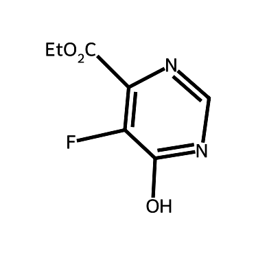 CCOC(=O)c1ncnc(O)c1F